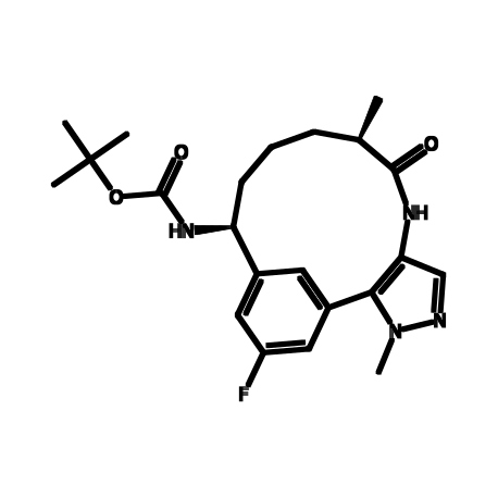 C[C@@H]1CCC[C@H](NC(=O)OC(C)(C)C)c2cc(F)cc(c2)-c2c(cnn2C)NC1=O